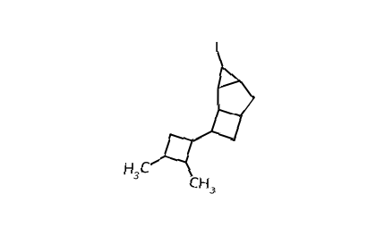 CC1CC(C2CC3CC4C(I)C4C32)C1C